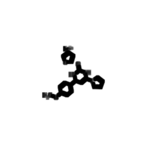 COc1ccc(C2C=C([c-]3cccc3)NC(=O)N2)cc1.[Fe+2].c1cc[cH-]c1